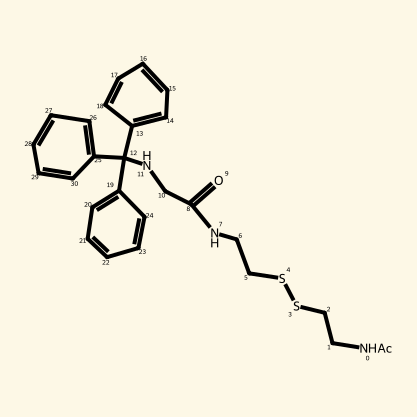 CC(=O)NCCSSCCNC(=O)CNC(c1ccccc1)(c1ccccc1)c1ccccc1